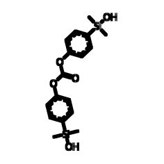 C[Si](C)(O)c1ccc(OC(=O)Oc2ccc([Si](C)(C)O)cc2)cc1